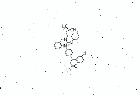 CN(C)CCN(Cc1ccccc1)/C(=N\C1CCCCC1)Nc1ccc(C(CC(N)=O)c2cccc(Cl)c2)cc1